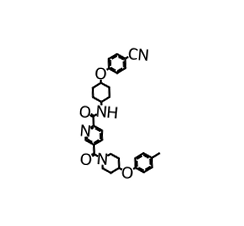 Cc1ccc(OC2CCN(C(=O)c3ccc(C(=O)NC4CCC(Oc5ccc(C#N)cc5)CC4)nc3)CC2)cc1